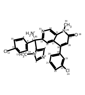 Cn1cncc1[C@@](N)(c1ccc(Cl)cc1)c1cc2c(-c3cccc(Cl)c3)cc(=O)n(C)c2cn1